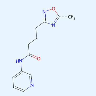 O=C(CCCc1noc(C(F)(F)F)n1)Nc1cccnc1